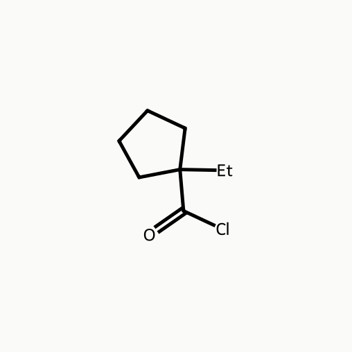 CCC1(C(=O)Cl)CCCC1